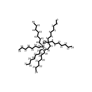 CCCCCCCC1(CCCCCCC)CC[Si](CCCCCCC)(CCCCCCC)[Si](CCCCCCC)(CCCCCCC)O1